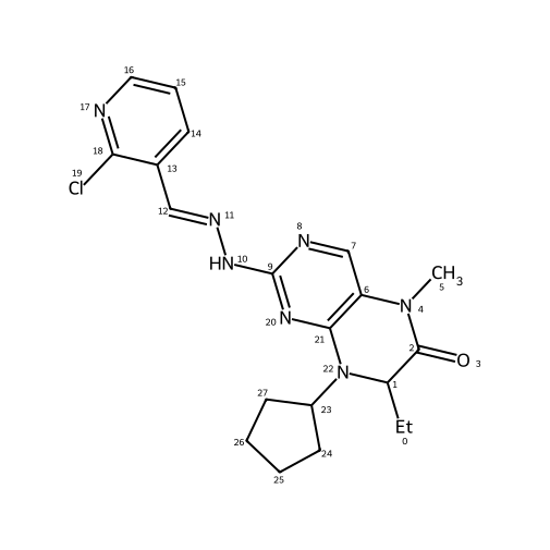 CCC1C(=O)N(C)c2cnc(NN=Cc3cccnc3Cl)nc2N1C1CCCC1